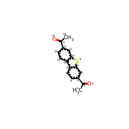 CC(=O)c1ccc2c(c1)sc1cc(C(C)=O)ccc12